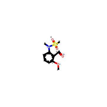 COc1cccc(N(C)S(C)(=O)=O)c1C=O